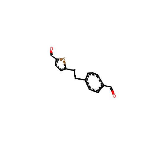 O=Cc1ccc(CCc2ccc(C=O)s2)cc1